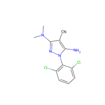 CN(C)c1nn(-c2c(Cl)cccc2Cl)c(N)c1C#N